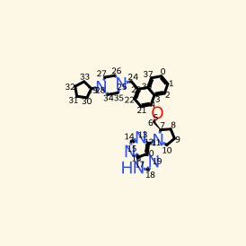 c1ccc2c(OC[C@H]3CCCN3c3ncnc4[nH]cnc34)ccc(CN3CCN(C4CCCC4)CC3)c2c1